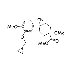 COc1ccc([C@]2(C#N)CC[C@](OC)(C(=O)OC)CC2)cc1OCC1CC1